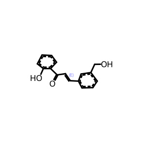 O=C(/C=C/c1cccc(CO)c1)c1ccccc1O